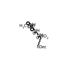 CCCCCCCCCCCCCCC/C=C(\C(=O)NCCC(=O)Nc1cccc(S(=O)(=O)Nc2cccc(C)c2C)c1)[N+](=O)[O-]